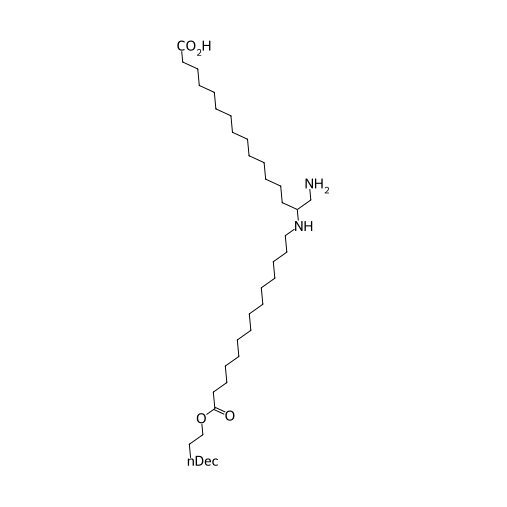 CCCCCCCCCCCCOC(=O)CCCCCCCCCCCCCNC(CN)CCCCCCCCCCCCCC(=O)O